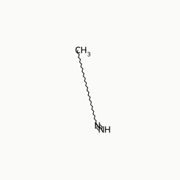 CCCCCCCCCCCCCCCCCCCCCCCCCCCCCCCCN1CCNCC1